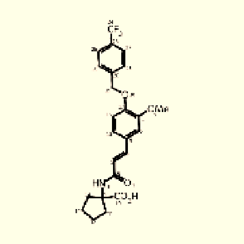 COc1cc(C=CC(=O)NC2(C(=O)O)CCCC2)ccc1OCc1ccc(C(F)(F)F)cc1